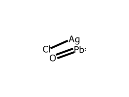 [Cl][Ag].[O]=[Pb]